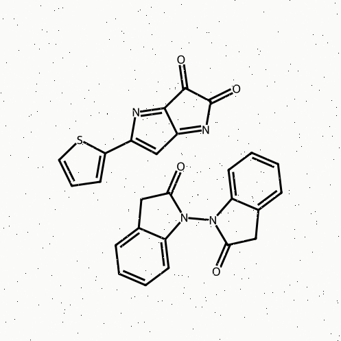 O=C1Cc2ccccc2N1N1C(=O)Cc2ccccc21.O=c1nc2cc(-c3cccs3)nc-2c1=O